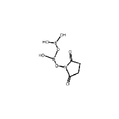 O=C1CCC(=O)N1OB(O)OB(O)O